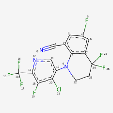 N#Cc1cc(F)cc2c1N(c1cnc(C(F)(F)F)c(F)c1Cl)CCC2(F)F